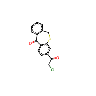 O=C(CCl)c1ccc2c(c1)SCc1ccccc1C2=O